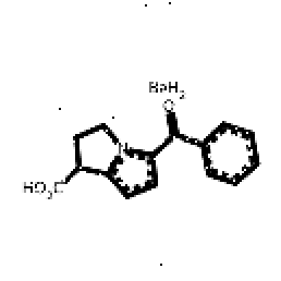 O=C(c1ccccc1)c1ccc2n1CCC2C(=O)O.[BaH2]